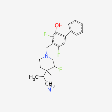 CC(C)C1(CC#N)CCN(Cc2c(F)cc(-c3ccccc3)c(O)c2F)CC1F